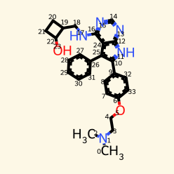 CN(C)CCOc1ccc(-c2[nH]c3ncnc(NCC4CCC4O)c3c2-c2ccccc2)cc1